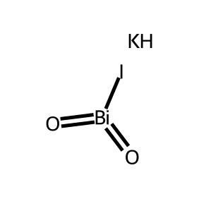 [KH].[O]=[Bi](=[O])[I]